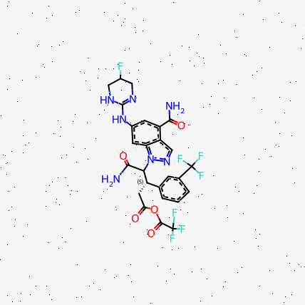 NC(=O)c1cc(NC2=NCC(F)CN2)cc2c1cnn2C(C(N)=O)[C@@H](CC(=O)OC(=O)C(F)(F)F)c1cccc(C(F)(F)F)c1